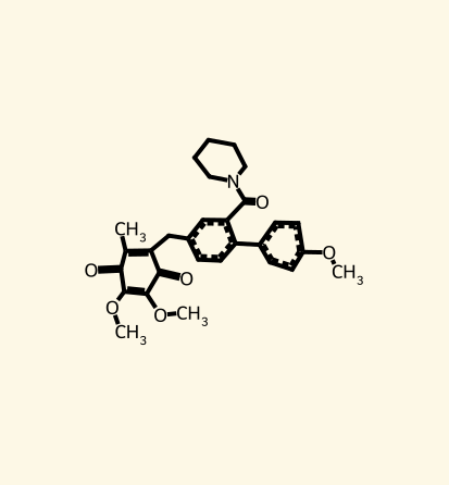 COC1=C(OC)C(=O)C(Cc2ccc(-c3ccc(OC)cc3)c(C(=O)N3CCCCC3)c2)=C(C)C1=O